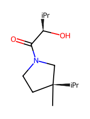 CC(C)[C@@H](O)C(=O)N1CC[C@](C)(C(C)C)C1